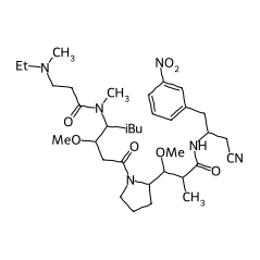 CCC(C)C(C(CC(=O)N1CCCC1C(OC)C(C)C(=O)NC(CC#N)Cc1cccc([N+](=O)[O-])c1)OC)N(C)C(=O)CCN(C)CC